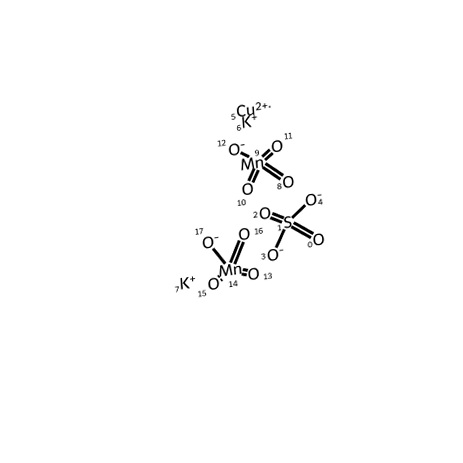 O=S(=O)([O-])[O-].[Cu+2].[K+].[K+].[O]=[Mn](=[O])(=[O])[O-].[O]=[Mn](=[O])(=[O])[O-]